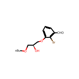 CCCCOC[C@H](O)COc1cccc(C=O)c1Br